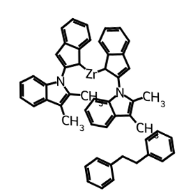 Cc1c(C)n(C2=Cc3ccccc3[CH]2[Zr][CH]2C(n3c(C)c(C)c4ccccc43)=Cc3ccccc32)c2ccccc12.c1ccc(CCc2ccccc2)cc1